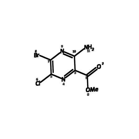 COC(=O)c1nc(Cl)c(Br)nc1N